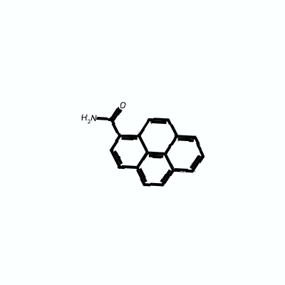 NC(=O)c1ccc2ccc3[c]ccc4ccc1c2c34